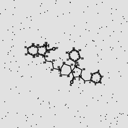 O=C1N(Cc2ccccc2)CN(c2ccccc2)C12CCN(CCCn1c(=O)[nH]c3ccccc31)CC2